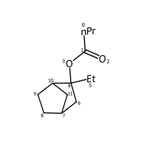 CCCC(=O)OC1(CC)CC2CCC1C2